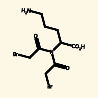 NCCCC(C(=O)O)N(C(=O)CBr)C(=O)CBr